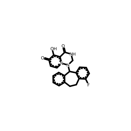 O=C1NCN(C2c3ccccc3CCc3c(F)cccc32)n2ccc(=O)c(O)c21